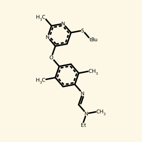 CCN(C)/C=N/c1cc(C)c(Oc2cc(SC(C)(C)C)nc(C)n2)cc1C